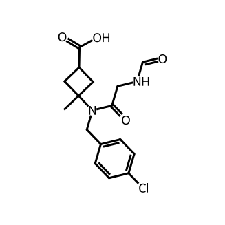 CC1(N(Cc2ccc(Cl)cc2)C(=O)CNC=O)CC(C(=O)O)C1